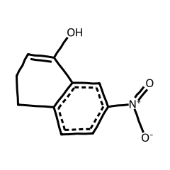 O=[N+]([O-])c1ccc2c(c1)C(O)=CCC2